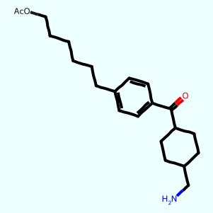 CC(=O)OCCCCCCc1ccc(C(=O)C2CCC(CN)CC2)cc1